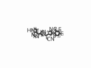 N#CC[C@@H]([C@H]1CCN(c2c(F)cc(F)c(F)c2C#N)C1)n1cc(-c2ncnc3[nH]ccc23)cn1